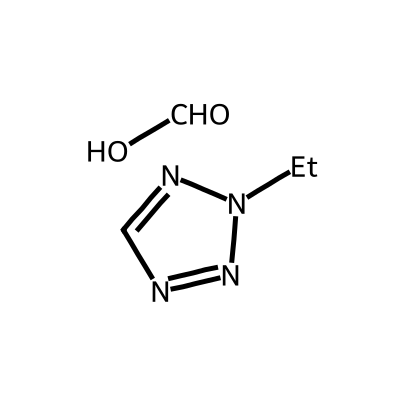 CCn1ncnn1.O=CO